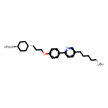 CCCCC[C@H]1CC[C@H](CCCOc2ccc(-c3ccc(CCCCC[C@@H](C)CC)cn3)cc2)CC1